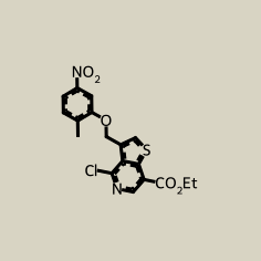 CCOC(=O)c1cnc(Cl)c2c(COc3cc([N+](=O)[O-])ccc3C)csc12